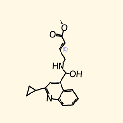 COC(=O)/C=C/CNC(O)c1cc(C2CC2)nc2ccccc12